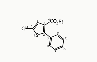 CCOC(=O)c1cc(Cl)sc1-c1ccccc1